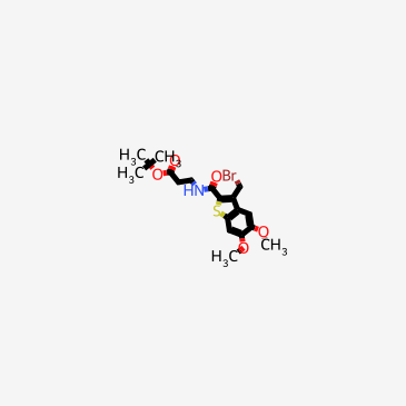 COc1cc2sc(C(=O)NCCC(=O)OC(C)(C)C)c(CBr)c2cc1OC